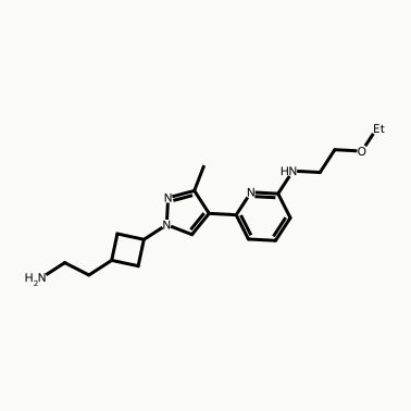 CCOCCNc1cccc(-c2cn(C3CC(CCN)C3)nc2C)n1